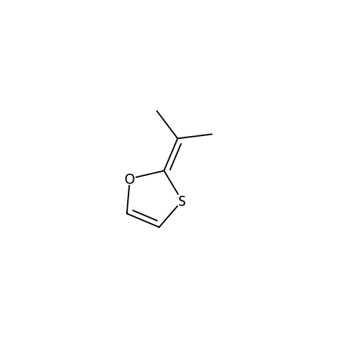 CC(C)=C1OC=CS1